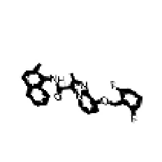 Cc1ccc2ccccc2c1NC(=O)c1c(C)nc2c(OCc3c(F)cccc3F)cccn12